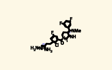 CN/C(=C1/CCN(C(=O)c2cc(F)cc(CC/C(N)=C/NN)c2Cl)[C@@H](C)C1=N)c1cc(F)cc(F)c1